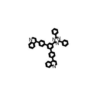 c1ccc(-c2nc(-c3ccccc3)nc(-c3cc(-c4ccc(-c5ccnc6ccccc56)cc4)cc(-c4ccc(-c5ccnc6ccccc56)cc4)c3)n2)cc1